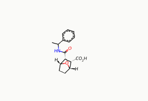 CC(NC(=O)[C@@H]1[C@H](C(=O)O)[C@@H]2CC[C@H]1O2)c1ccccc1